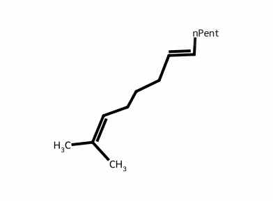 CCCCCC=CCCCC=C(C)C